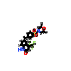 CC1CN(S(=O)(=O)c2ccc(Cc3ccc4[nH]c(=O)cc(C(F)(F)F)c4c3)cc2)CC(C)O1